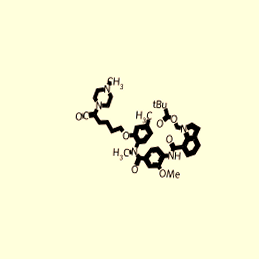 COc1cc(C(=O)N(C)c2ccc(C)cc2OCCCCC(=C=O)N2CCN(C)CC2)ccc1NC(=O)c1cccc2ccn(COC(=O)C(C)(C)C)c12